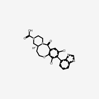 O=C(O)N1CCN2C(=O)c3cc(Cl)c(-c4cccc5scnc45)c(Cl)c3OCC[C@H]2C1